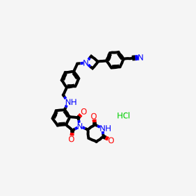 Cl.N#Cc1ccc(C2CN(Cc3ccc(CNc4cccc5c4C(=O)N(C4CCC(=O)NC4=O)C5=O)cc3)C2)cc1